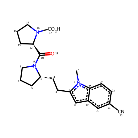 Cn1c(CC[C@@H]2CCCN2C(=O)[C@H]2CCCN2C(=O)O)cc2cc(C#N)ccc21